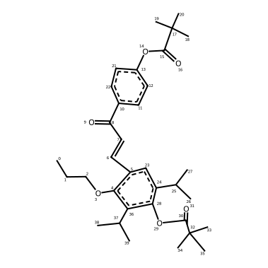 CCCOc1c(C=CC(=O)c2ccc(OC(=O)C(C)(C)C)cc2)cc(C(C)C)c(OC(=O)C(C)(C)C)c1C(C)C